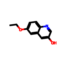 CCOc1ccc2ncc(O)cc2c1